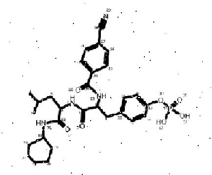 CC(C)CC(NC(=O)C(Cc1ccc(OP(=O)(O)O)cc1)NC(=O)c1ccc(C#N)cc1)C(=O)NC1CCCCC1